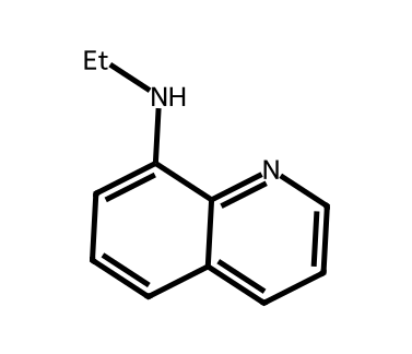 CCNc1cccc2cccnc12